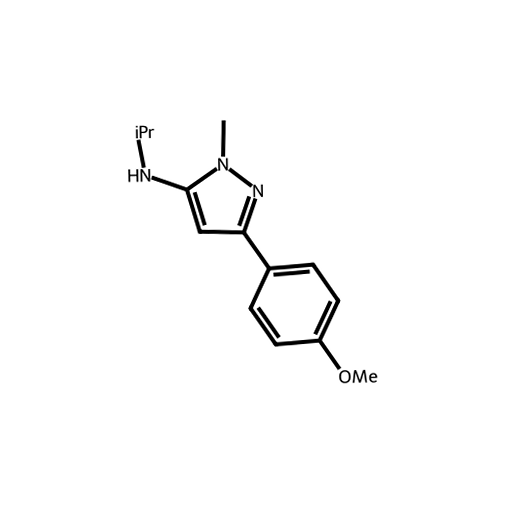 COc1ccc(-c2cc(NC(C)C)n(C)n2)cc1